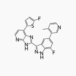 Cc1ccncc1-c1cc(F)c2[nH]nc(-c3nc4c(-c5ccc(F)s5)ccnc4[nH]3)c2c1